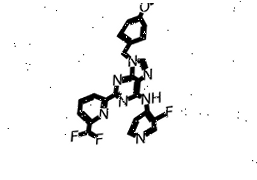 COc1ccc(Cn2cnc3c(Nc4ccncc4F)nc(-c4cccc(C(F)F)n4)nc32)cc1